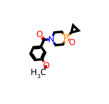 COc1cccc(C(=O)N2CCP(=O)(C3CC3)CC2)c1